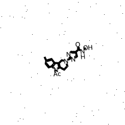 CC(=O)n1c2c(c3cc(C)ccc31)CN(c1ncc(C(=O)NO)cn1)CC2